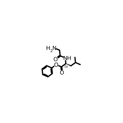 CC(C)C[C@H](NC(=O)CN)C(=O)Oc1ccccc1